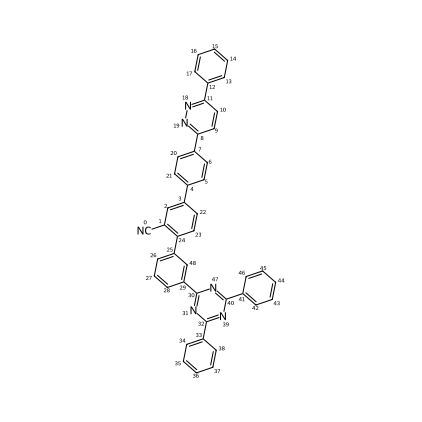 N#Cc1cc(-c2ccc(-c3ccc(-c4ccccc4)nn3)cc2)ccc1-c1cccc(-c2nc(-c3ccccc3)nc(-c3ccccc3)n2)c1